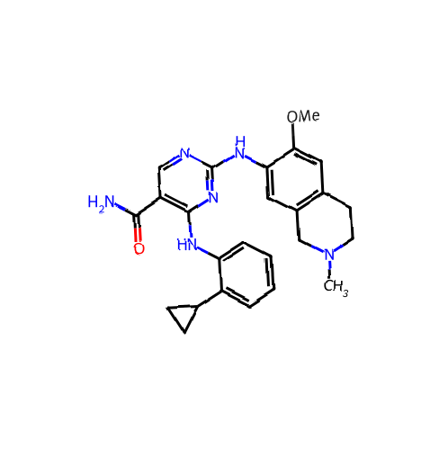 COc1cc2c(cc1Nc1ncc(C(N)=O)c(Nc3ccccc3C3CC3)n1)CN(C)CC2